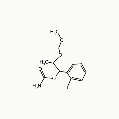 COCOC(C)C(OC(N)=O)c1ccccc1I